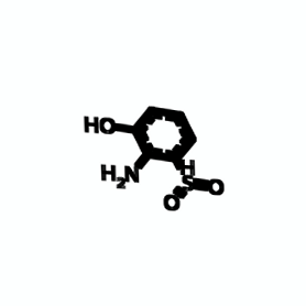 Nc1c(O)cccc1[SH](=O)=O